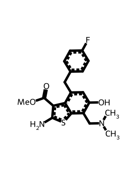 COC(=O)c1c(N)sc2c(CN(C)C)c(O)cc(Cc3ccc(F)cc3)c12